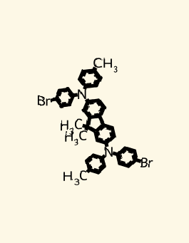 Cc1ccc(N(c2ccc(Br)cc2)c2ccc3c(c2)C(C)(C)c2cc(N(c4ccc(C)cc4)c4ccc(Br)cc4)ccc2-3)cc1